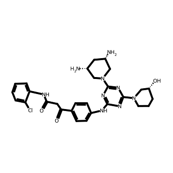 N[C@@H]1C[C@H](N)CN(c2nc(Nc3ccc(C(=O)CC(=O)Nc4ccccc4Cl)cc3)nc(N3CCC[C@@H](O)C3)n2)C1